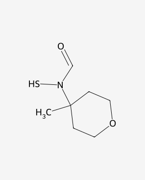 CC1(N(S)C=O)CCOCC1